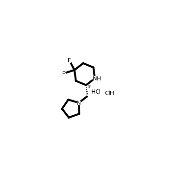 Cl.Cl.FC1(F)CCN[C@H](CN2CCCC2)C1